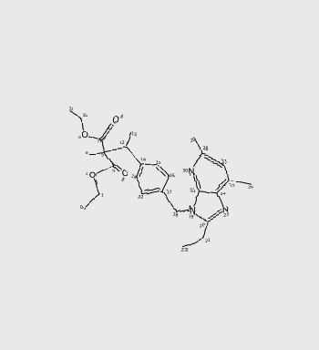 CCOC(=O)C(C)(C(=O)OCC)C(C)c1ccc(Cn2c(CC)nc3c(C)cc(C)nc32)cc1